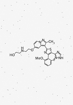 COc1cccc(F)c1-c1nc(-c2c(C)nn3ccc(OCCNCCO)cc23)sc1-c1nc[nH]n1